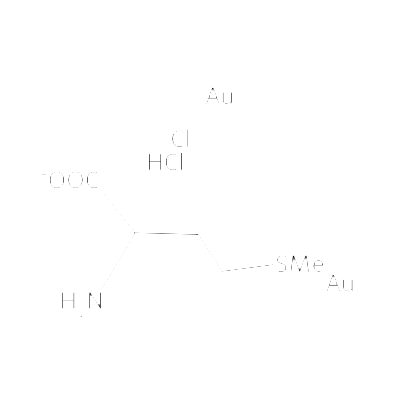 CSCCC(N)C(=O)[O-].Cl.[Au+].[Au+].[Cl-]